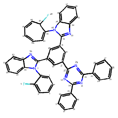 Fc1ccccc1-n1c(-c2cc(-c3nc(-c4ccccc4)nc(-c4ccccc4)n3)cc(-c3nc4ccccc4n3C3=CC=CC=CC3F)c2)nc2ccccc21